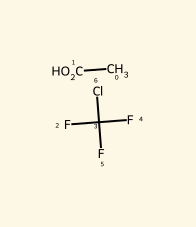 CC(=O)O.FC(F)(F)Cl